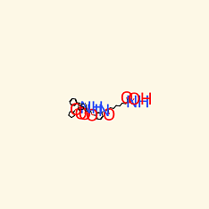 O=C(CCCCCCC(=O)Nc1cccc(OCC(=O)N[C@@H](Cc2ccccc2)C(=O)OC2CCCC2)c1)NO